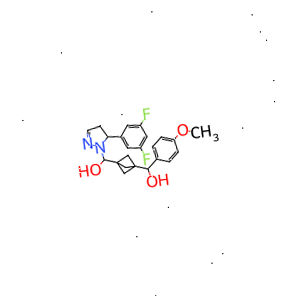 COc1ccc(C(O)C23CC(C(O)N4N=CCC4c4cc(F)cc(F)c4)(C2)C3)cc1